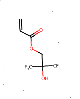 C=CC(=O)OCC(O)(C(F)(F)F)C(F)(F)F